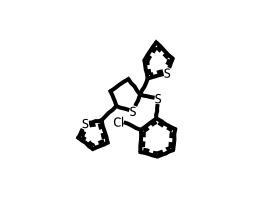 Clc1ccccc1SC1(c2cccs2)CCC(c2cccs2)S1